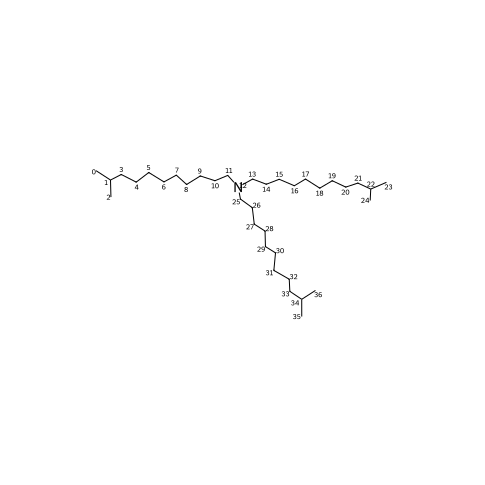 CC(C)CCCCCCCCCN(CCCCCCCCCC(C)C)CCCCCCCCCC(C)C